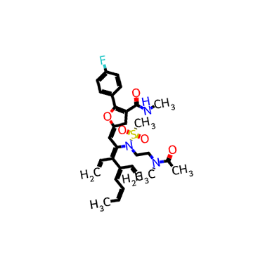 C=CC(=C(\C=C1/CC(C(=O)NC)=C(c2ccc(F)cc2)O1)N(CCN(C)C(C)=O)S(C)(=O)=O)/C(C=C)=C/C=C\C